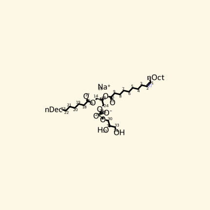 CCCCCCCC/C=C\CCCCCCCC(=O)O[C@H](COC(=O)CCCCCCCCCCCCCCC)COP(=O)([O-])OCC(O)CO.[Na+]